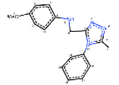 COc1ccc(NCc2nnc(C)n2-c2ccccc2)cc1